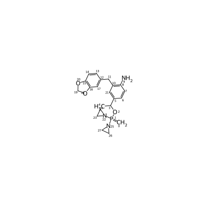 C=P(OC(C)c1ccc(N)c(Cc2ccc3c(c2)OCO3)c1)(N1CC1)N1CC1